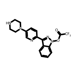 O=C(On1nc(-c2ccc(N3CCNCC3)cn2)c2ccccc21)C(F)(F)F